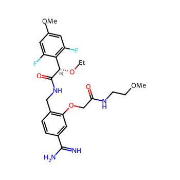 CCO[C@H](C(=O)NCc1ccc(C(=N)N)cc1OCC(=O)NCCOC)c1c(F)cc(OC)cc1F